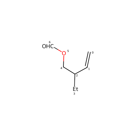 C=CC(CC)COC=O